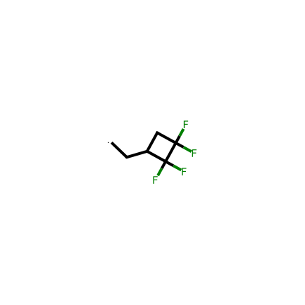 [CH2]CC1CC(F)(F)C1(F)F